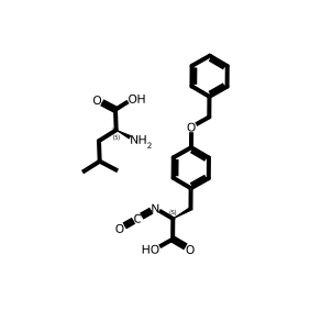 CC(C)C[C@H](N)C(=O)O.O=C=N[C@@H](Cc1ccc(OCc2ccccc2)cc1)C(=O)O